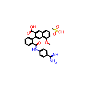 COc1cccc2cc(C(=O)O)c(-c3ccccc3C(=O)Nc3ccc(C(=N)N)cc3)cc12.CS(=O)(=O)O